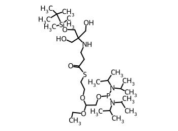 CCOC(COP(N(C(C)C)C(C)C)N(C(C)C)C(C)C)OCCSC(=O)CCNC(CO)(CO)CO[Si](C)(C)C(C)(C)C